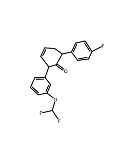 O=C1C(c2cccc(OC(F)F)c2)C=CCC1c1ccc(F)cc1